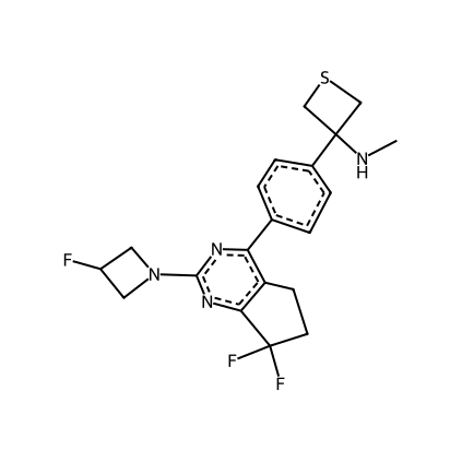 CNC1(c2ccc(-c3nc(N4CC(F)C4)nc4c3CCC4(F)F)cc2)CSC1